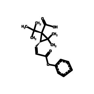 CC(C)(C)[C@]1(C(=O)O)[C@@H](/C=C\C(=O)Oc2ccccc2)C1(C)C